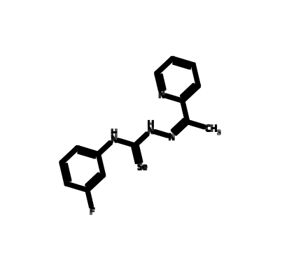 CC(=NNC(=[Se])Nc1cccc(F)c1)c1ccccn1